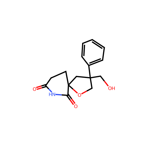 O=C1CCC2(CC(CO)(c3ccccc3)CO2)C(=O)N1